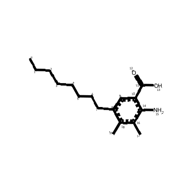 CCCCCCCCc1cc(C(=O)O)c(N)c(C)c1C